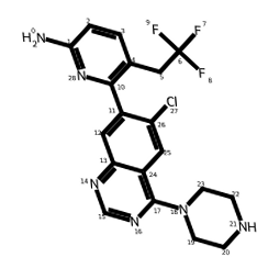 Nc1ccc(CC(F)(F)F)c(-c2cc3ncnc(N4CCNCC4)c3cc2Cl)n1